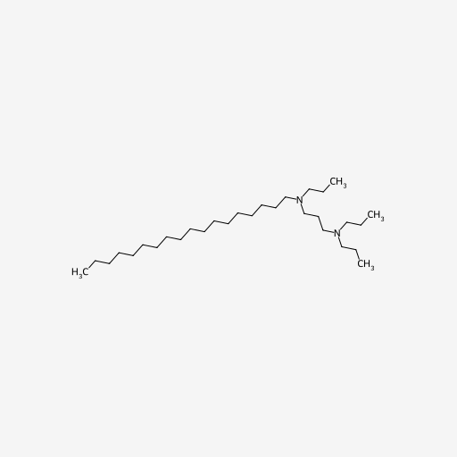 CCCCCCCCCCCCCCCCCCN(CCC)CCCN(CCC)CCC